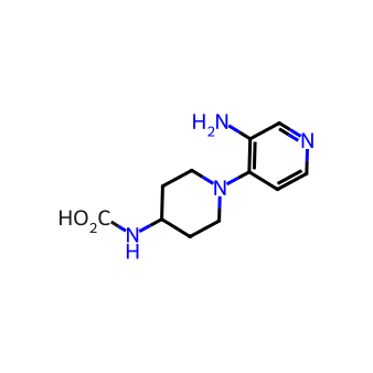 Nc1cnccc1N1CCC(NC(=O)O)CC1